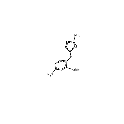 COc1cc(N)ccc1Oc1cnc(N)s1